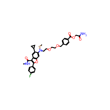 CNC(=O)c1c(-c2ccc(F)cc2)oc2cc(N(CCOCCOCc3ccc(C(=O)OCC(N)=O)cc3)SC)c(C3CC3)cc12